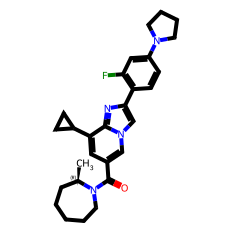 C[C@@H]1CCCCCN1C(=O)c1cc(C2CC2)c2nc(-c3ccc(N4CCCC4)cc3F)cn2c1